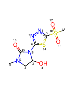 CN1CC(O)N(c2nnc(S(C)(=O)=O)s2)C1=O